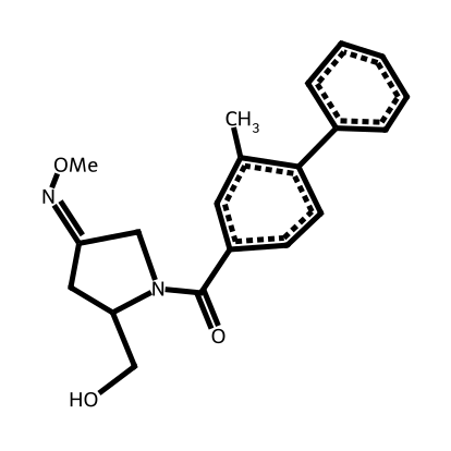 CON=C1CC(CO)N(C(=O)c2ccc(-c3ccccc3)c(C)c2)C1